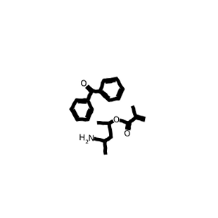 C=C(C)C(=O)OC(C)CC(C)N.O=C(c1ccccc1)c1ccccc1